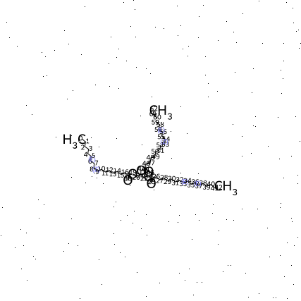 CCCCC/C=C/C/C=C\CCCCCCCC(=O)OCC(COC(=O)CCCCCCC/C=C/C/C=C/CCCCC)OC(=O)CCCCCCC/C=C\C/C=C/CCCCC